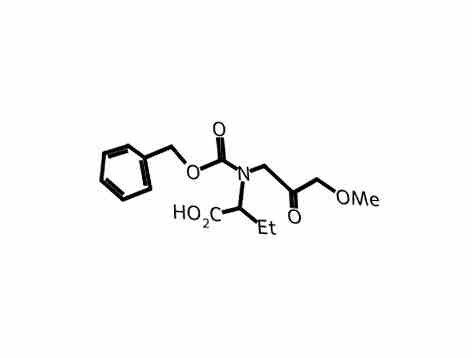 CCC(C(=O)O)N(CC(=O)COC)C(=O)OCc1ccccc1